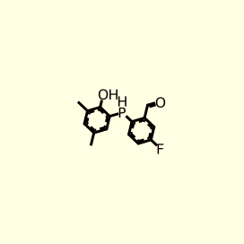 Cc1cc(C)c(O)c(Pc2ccc(F)cc2C=O)c1